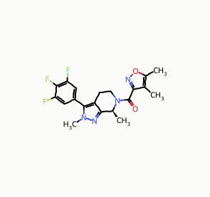 Cc1onc(C(=O)N2CCc3c(nn(C)c3-c3cc(F)c(F)c(F)c3)[C@@H]2C)c1C